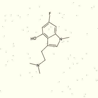 CN(C)CCc1cn(C)c2cc(F)cc(O)c12